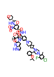 Cc1cc(Cl)cc(F)c1N1CCN(C2CC3(CCN(c4ccc(C(=O)NS(=O)(=O)c5cc6c(c([N+](=O)[O-])c5)N[C@H](C5CCOCC5)CO6)c(N5c6cc7cc[nH]c7nc6O[C@H]6COCC[C@@H]65)c4)CC3)C2)[C@H](c2ccccc2OC(C)C)C1